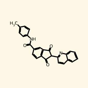 Cc1ccc(NC(=O)c2ccc3c(c2)C(=O)C(c2ccc4ccccc4n2)C3=O)cc1